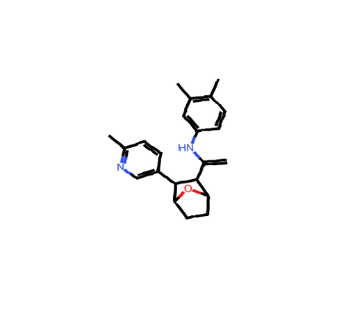 C=C(Nc1ccc(C)c(C)c1)C1C2CCC(O2)C1c1ccc(C)nc1